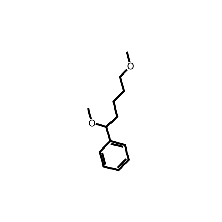 COCCCCC(OC)c1ccccc1